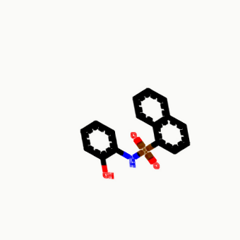 O=S(=O)(Nc1ccccc1O)c1cccc2ccccc12